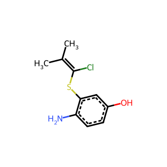 CC(C)=C(Cl)Sc1cc(O)ccc1N